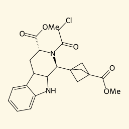 COC(=O)[C@H]1CC2c3ccccc3NC2[C@H](C23CC(C(=O)OC)(C2)C3)N1C(=O)CCl